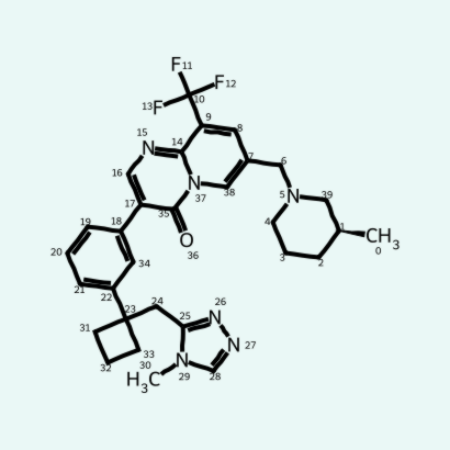 C[C@H]1CCCN(Cc2cc(C(F)(F)F)c3ncc(-c4cccc(C5(Cc6nncn6C)CCC5)c4)c(=O)n3c2)C1